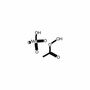 CC(=O)OO.[O]=[Mn](=[O])(=[O])[OH]